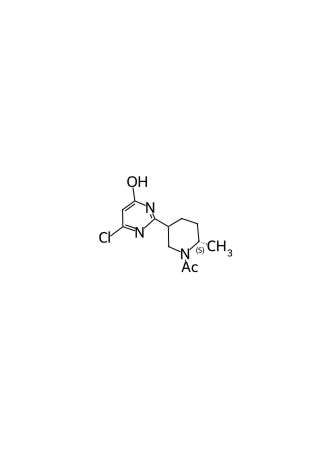 CC(=O)N1CC(c2nc(O)cc(Cl)n2)CC[C@@H]1C